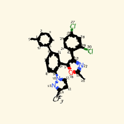 Cc1cccc(-c2ccc(-n3ccc(C(F)(F)F)n3)c(-c3oc(C)nc3-c3ccc(Cl)cc3Cl)c2)c1